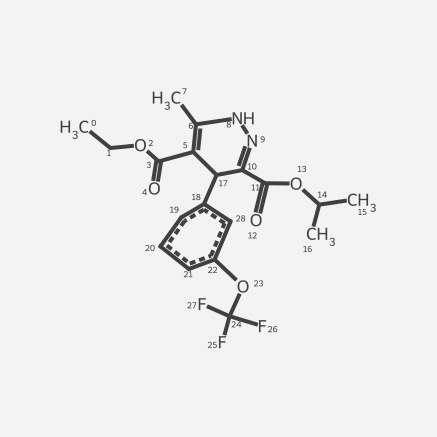 CCOC(=O)C1=C(C)NN=C(C(=O)OC(C)C)C1c1cccc(OC(F)(F)F)c1